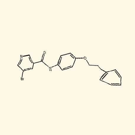 O=C(Nc1ccc(OCCc2ccccc2)cc1)c1cncc(Br)c1